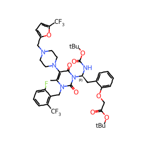 Cc1c(N2CCN(Cc3ccc(C(F)(F)F)o3)CC2)c(=O)n([C@H](Cc2ccccc2OCC(=O)OC(C)(C)C)NC(=O)OC(C)(C)C)c(=O)n1Cc1c(F)cccc1C(F)(F)F